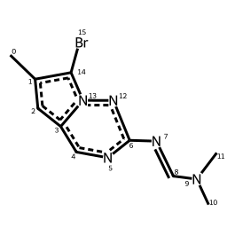 Cc1cc2cnc(/N=C/N(C)C)nn2c1Br